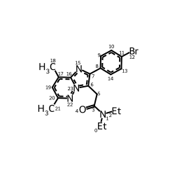 CCN(CC)C(=O)Cc1c(-c2ccc(Br)cc2)nc2c(C)cc(C)nn12